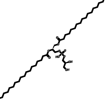 CCCCCCCCCCCCCCCCCCCCC(=O)O[C@H](COC(=O)CCCCCCCCCCCCCCCC)COP(=O)(O)OC[C@@H](O)CO